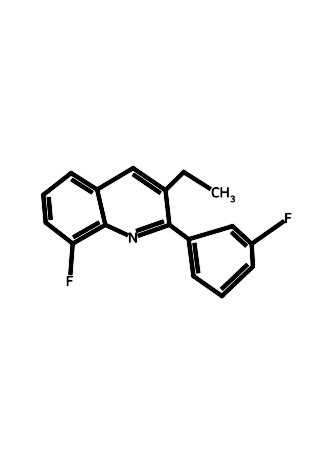 CCc1cc2cccc(F)c2nc1-c1cccc(F)c1